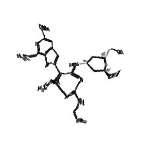 COc1cc2cc(-c3c(C)nc(NCC(C)(C)C)nc3N[C@@H]3C[C@H](CO)[C@@H](O)C3)oc2c(C)n1